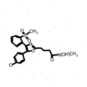 CN(O)C(=O)CCCc1nc(-c2ccccc2S(C)(=O)=O)c(-c2ccc(Cl)cc2)o1